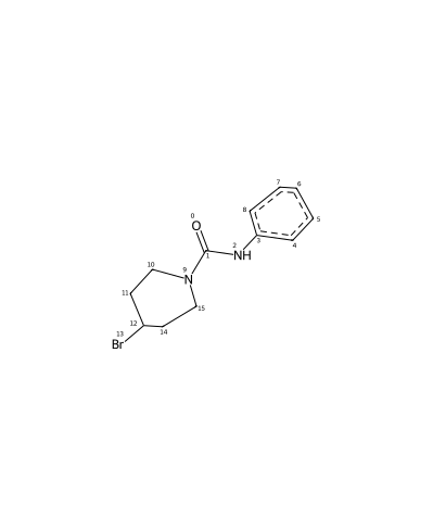 O=C(Nc1ccccc1)N1CCC(Br)CC1